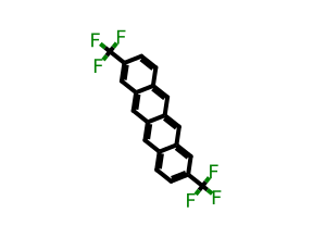 FC(F)(F)c1ccc2cc3cc4cc(C(F)(F)F)ccc4cc3cc2c1